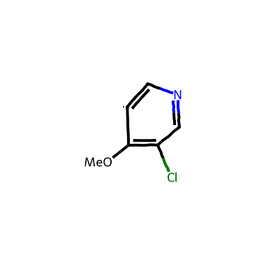 COc1[c]cncc1Cl